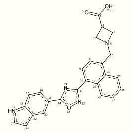 O=C(O)C1CN(Cc2ccc(-c3noc(-c4ccc5[nH]ccc5c4)n3)c3ccccc23)C1